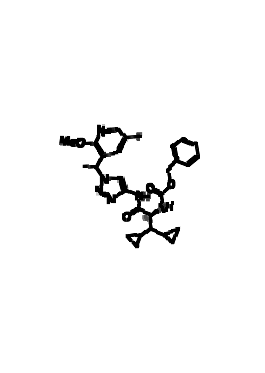 COc1ncc(F)cc1C(C)n1cc(NC(=O)[C@@H](NC(=O)OCc2ccccc2)C(C2CC2)C2CC2)nn1